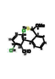 COC(=S)c1ccccc1-c1c(Cl)ccc(Cl)c1C=O